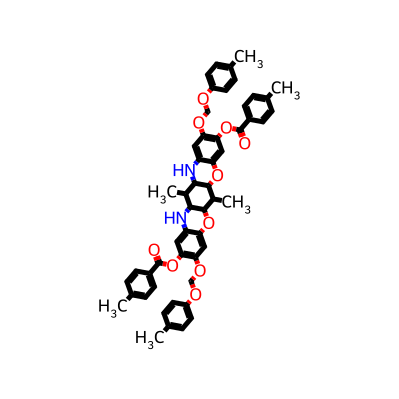 Cc1ccc(OCOc2cc3c(cc2OC(=O)c2ccc(C)cc2)NC2C(C)C4Nc5cc(OCOc6ccc(C)cc6)c(OC(=O)c6ccc(C)cc6)cc5OC4C(C)C2O3)cc1